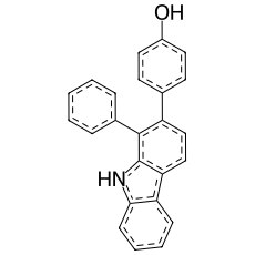 Oc1ccc(-c2ccc3c([nH]c4ccccc43)c2-c2ccccc2)cc1